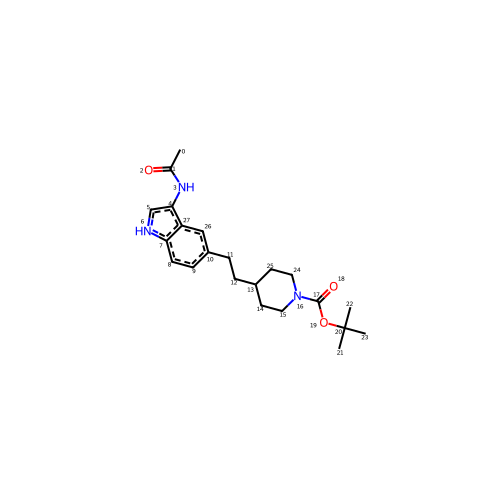 CC(=O)Nc1c[nH]c2ccc(CCC3CCN(C(=O)OC(C)(C)C)CC3)cc12